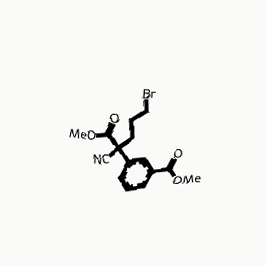 COC(=O)c1cccc(C(C#N)(CCCBr)C(=O)OC)c1